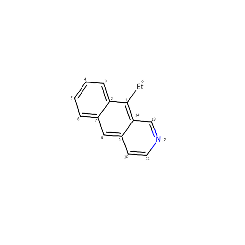 CCc1c2ccccc2cc2ccncc12